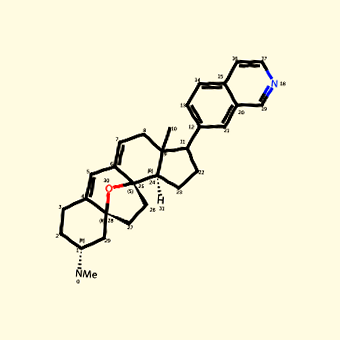 CN[C@@H]1CCC2=CC3=CCC4(C)C(c5ccc6ccncc6c5)CC[C@H]4[C@@]34CC[C@]2(C1)O4